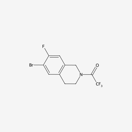 O=C(N1CCc2cc(Br)c(F)cc2C1)C(F)(F)F